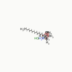 CCCCCCCCCCCCCCCCC(CCC)(C(C)(C)N)[Si](OC)(OC)OC.Cl